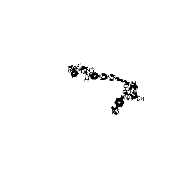 COc1cc(N2CCC(N3CCN(CCCCCC(=O)N[C@H](C(=O)N4C[C@H](O)C[C@H]4C(=O)NCc4ccc(-c5scnc5C)cc4)C(C)(C)C)CC3)CC2)ccc1Nc1ncc(Cl)c(Nc2ccccc2S(=O)(=O)C(C)C)n1